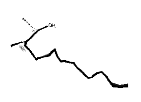 CCCCCCCC[C@@H](C)[C@H](C)O